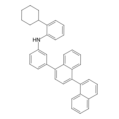 c1cc(Nc2ccccc2C2CCCCC2)cc(-c2ccc(-c3cccc4ccccc34)c3ccccc23)c1